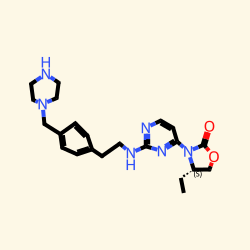 CC[C@H]1COC(=O)N1c1ccnc(NCCc2ccc(CN3CCNCC3)cc2)n1